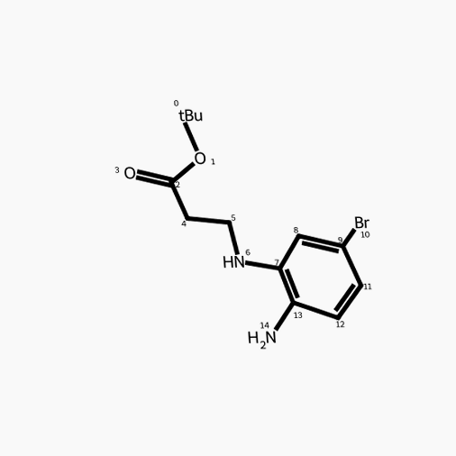 CC(C)(C)OC(=O)CCNc1cc(Br)ccc1N